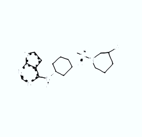 CC(=O)C1CCCN(S(=O)(=O)C[C@H]2CC[C@H](N(C)c3ncnc4[nH]ccc34)CC2)C1